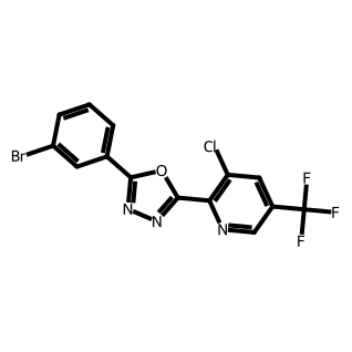 FC(F)(F)c1cnc(-c2nnc(-c3cccc(Br)c3)o2)c(Cl)c1